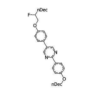 CCCCCCCCCCOc1ccc(-c2ncc(-c3ccc(OCC(F)CCCCCCCCCC)cc3)cn2)cc1